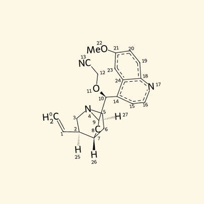 C=C[C@H]1CN2CC[C@H]1C[C@@H]2[C@@H](OCC#N)c1ccnc2ccc(OC)cc12